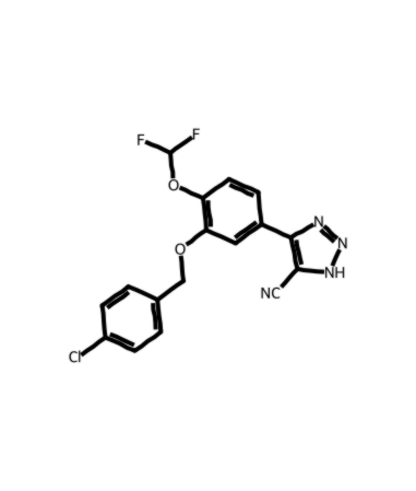 N#Cc1[nH]nnc1-c1ccc(OC(F)F)c(OCc2ccc(Cl)cc2)c1